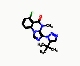 CN1C(=O)c2c(F)cccc2[N+]2C=NC(n3nncc3C(C)(C)C)=C12